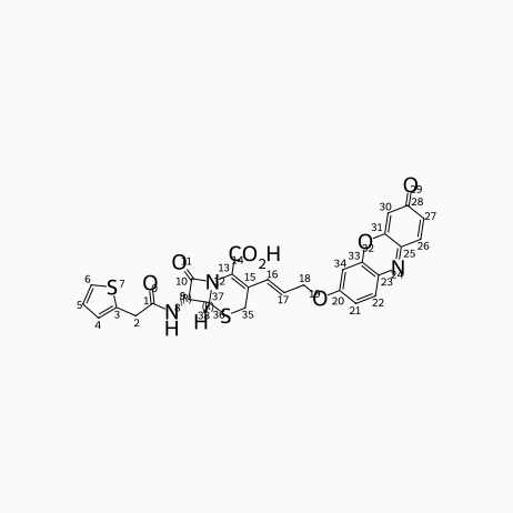 O=C(Cc1cccs1)N[C@@H]1C(=O)N2C(C(=O)O)=C(C=CCOc3ccc4nc5ccc(=O)cc-5oc4c3)CS[C@H]12